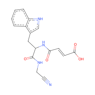 N#CCNC(=O)C(Cc1c[nH]c2ccccc12)NC(=O)C=CC(=O)O